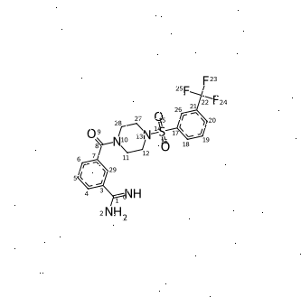 N=C(N)c1cccc(C(=O)N2CCN(S(=O)(=O)c3cccc(C(F)(F)F)c3)CC2)c1